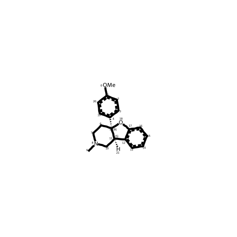 COc1ccc([C@@]23CCN(C)C[C@@H]2c2ccccc2O3)cc1